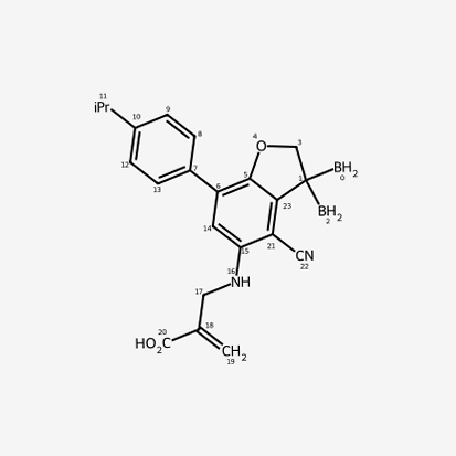 BC1(B)COc2c(-c3ccc(C(C)C)cc3)cc(NCC(=C)C(=O)O)c(C#N)c21